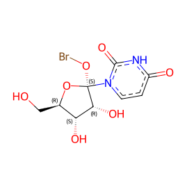 O=c1ccn([C@]2(OBr)O[C@H](CO)[C@@H](O)[C@H]2O)c(=O)[nH]1